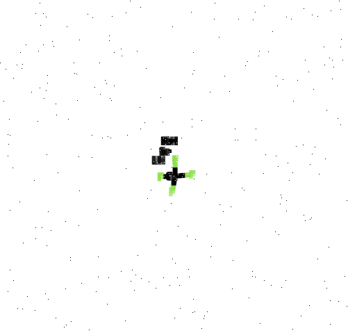 [F][Ge]([F])([F])[F].[LiH].[RbH].[Sc]